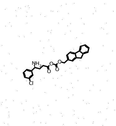 N[C@@H](CCC(=O)OC(=O)OCc1ccc2c(c1)Cc1ccccc1-2)c1cccc(Cl)c1